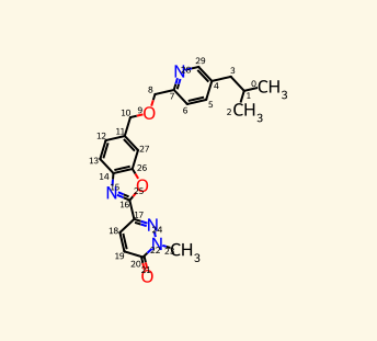 CC(C)Cc1ccc(COCc2ccc3nc(-c4ccc(=O)n(C)n4)oc3c2)nc1